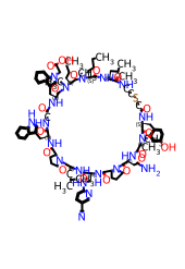 CCCC[C@H]1C(=O)N(C)[C@@H](CCCC)C(=O)N[C@@H](CC(C)C)C(=O)NCCSCC(=O)N[C@@H](Cc2ccc(O)cc2)C(=O)N(C)[C@@H](C)C(=O)N[C@@H](CC(N)=O)C(=O)N2CCCC2C(=O)N[C@@H](CNc2ccc(C#N)cn2)C(=O)N[C@@H](CC(C)C)C(=O)N2CCCC2C(=O)N[C@@H](Cc2c[nH]c3ccccc23)C(=O)NCC(=O)N[C@@H](Cc2cn(CC(=O)O)c3ccccc23)C(=O)N1C